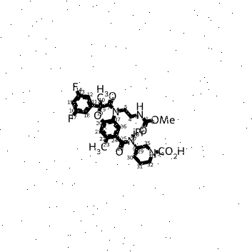 COC(=O)NCCN1C(=O)C(C)(c2cc(F)cc(F)c2)Oc2cc(C)c(C(=O)N(C(C)C)[C@@H]3CCCN(C(=O)O)C3)cc21